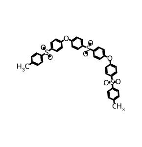 Cc1ccc(S(=O)(=O)c2ccc(Oc3ccc(S(=O)(=O)c4ccc(Oc5ccc(S(=O)(=O)c6ccc(C)cc6)cc5)cc4)cc3)cc2)cc1